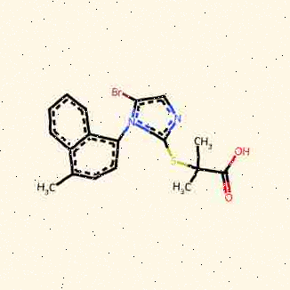 Cc1ccc(-n2c(Br)cnc2SC(C)(C)C(=O)O)c2ccccc12